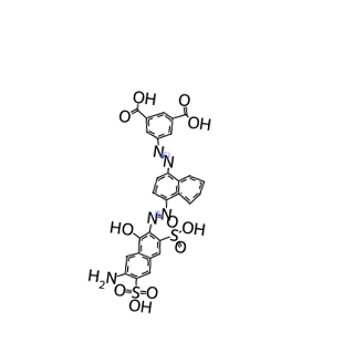 Nc1cc2c(O)c(/N=N/c3ccc(/N=N/c4cc(C(=O)O)cc(C(=O)O)c4)c4ccccc34)c(S(=O)(=O)O)cc2cc1S(=O)(=O)O